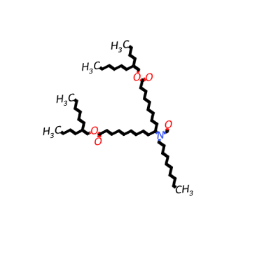 CCCCCCCCCCN(C=O)C(CCCCCCCCC(=O)OCC(CCCC)CCCCCC)CCCCCCCCC(=O)OCC(CCCC)CCCCCC